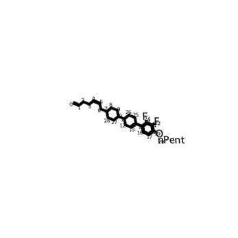 C=CCC/C=C\CC1CCC(C2CC=C(c3ccc(OCCCCC)c(F)c3F)CC2)CC1